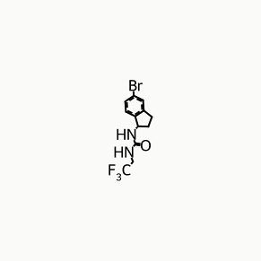 O=C(NCC(F)(F)F)N[C@@H]1CCc2cc(Br)ccc21